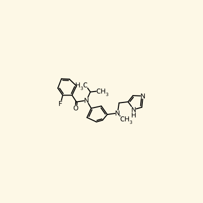 CC(C)N(C(=O)c1ccccc1F)c1cccc(N(C)Cc2cnc[nH]2)c1